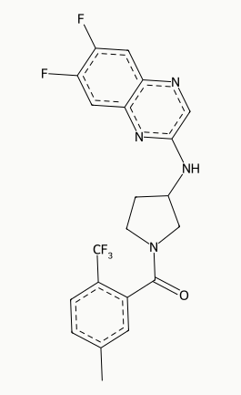 Cc1ccc(C(F)(F)F)c(C(=O)N2CCC(Nc3cnc4cc(F)c(F)cc4n3)C2)c1